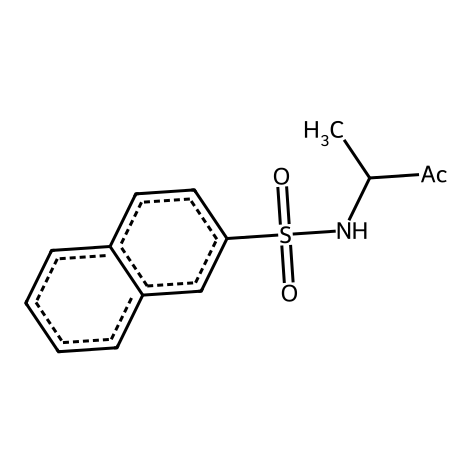 CC(=O)C(C)NS(=O)(=O)c1ccc2ccccc2c1